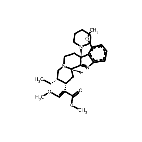 CC[C@@H]1CN2CC[C@@]3(N4CCCCC4)C(=Nc4cccc(OC)c43)[C@@H]2C[C@@H]1/C(=C\OC)C(=O)OC